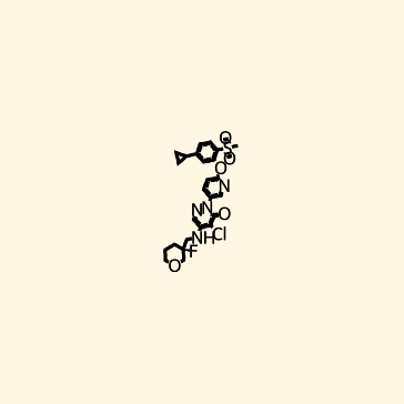 CS(=O)(=O)c1ccc(C2CC2)cc1Oc1ccc(-n2ncc(NC[C@@]3(F)CCCOC3)c(Cl)c2=O)cn1